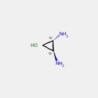 Cl.N[C@H]1C[C@@H]1N